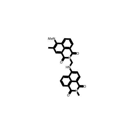 CNc1c(C)cc2c3c(cccc13)C(=O)N(CNc1ccc3c4c(cccc14)C(=O)N(C)C3=O)C2=O